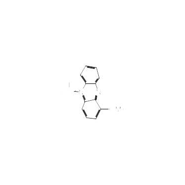 COc1cccc2c1nc1ccccc1[n+]2C.[Cl-]